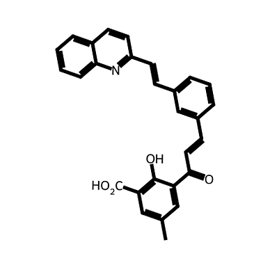 Cc1cc(C(=O)O)c(O)c(C(=O)C=Cc2cccc(C=Cc3ccc4ccccc4n3)c2)c1